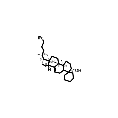 CC(C)CCC[C@@H](C)[C@H]1CC[C@H]2C3=CCC4C5(CCCCC5)[C@@H](O)CC[C@]4(C)[C@H]3CC[C@]12C